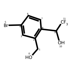 OCc1cc(Br)ccc1C(O)C(F)(F)F